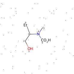 CCC(CO)N(C)C(=O)O